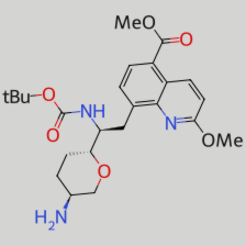 COC(=O)c1ccc(C[C@H](NC(=O)OC(C)(C)C)[C@H]2CC[C@H](N)CO2)c2nc(OC)ccc12